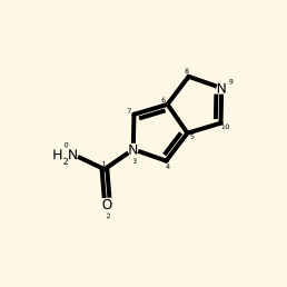 NC(=O)n1cc2c(c1)CN=C2